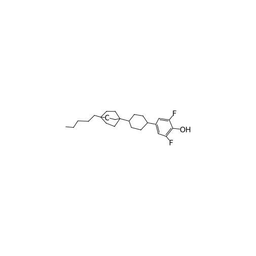 CCCCCC12CCC(C3CCC(c4cc(F)c(O)c(F)c4)CC3)(CC1)CC2